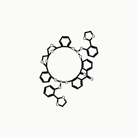 O=C1c2cccc3c2C(=O)c2c(cccc21)OP(Oc1ccccc1C1OCCO1)Oc1ccccc1C1OCC2(COC(O2)c2ccccc2OP(Oc2ccccc2C2OCCO2)O3)O1